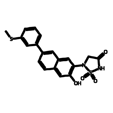 CSc1cccc(-c2ccc3cc(O)c(N4CC(=O)NS4(=O)=O)cc3c2)c1